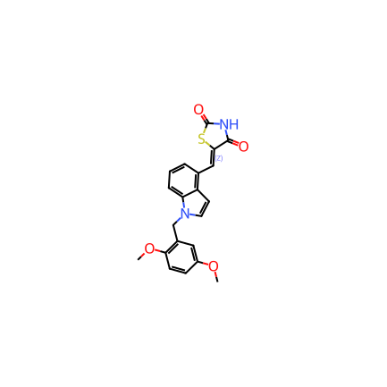 COc1ccc(OC)c(Cn2ccc3c(/C=C4\SC(=O)NC4=O)cccc32)c1